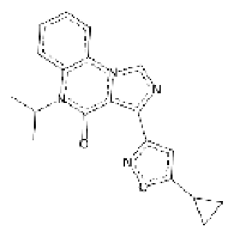 CC(C)n1c(=O)c2c(-c3cc(C4CC4)on3)ncn2c2ccccc21